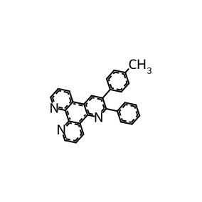 Cc1ccc(-c2cc3c4cccnc4c4ncccc4c3nc2-c2ccccc2)cc1